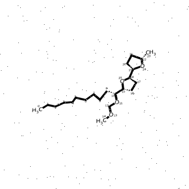 CCCCCCCCCC[C@@H](OCOC)[C@H]1CC[C@H]([C@H]2CC[C@H](C)O2)O1